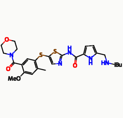 CCC(C)NCc1ccc(C(=O)Nc2ncc(Sc3cc(C(=O)N4CCOCC4)c(OC)cc3C)s2)[nH]1